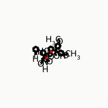 COc1ccc(C(c2ccccc2)(c2ccc(OC)cc2)C(O)[C@H]2O[C@@H](n3ccc(=O)[nH]c3=O)[C@@](O)(C3(OC)CCN(c4ccccc4F)CC3)[C@@H]2O)cc1